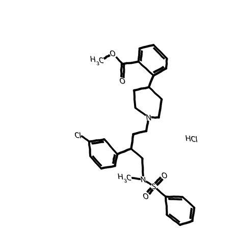 COC(=O)c1ccccc1C1CCN(CCC(CN(C)S(=O)(=O)c2ccccc2)c2cccc(Cl)c2)CC1.Cl